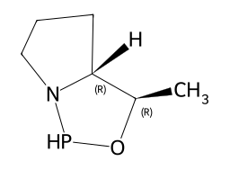 C[C@H]1OPN2CCC[C@H]12